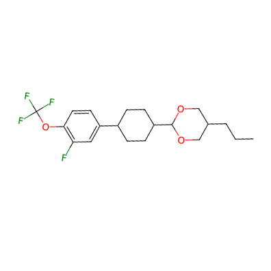 CCCC1COC(C2CCC(c3ccc(OC(F)(F)F)c(F)c3)CC2)OC1